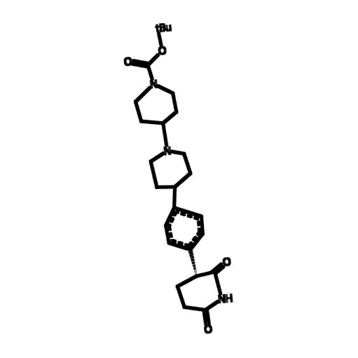 CC(C)(C)OC(=O)N1CCC(N2CCC(c3ccc([C@H]4CCC(=O)NC4=O)cc3)CC2)CC1